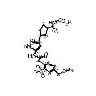 CCC(NC(=O)O)C1CCC(c2cc(NC(=O)Cc3ccc(COC)cc3S(C)(=O)=O)[nH]n2)C1